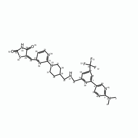 CN(C)c1ncc(-c2cc(C(F)(F)F)cc(CNCC3CCN(c4nccc(C=C5SC(=O)NC5=O)n4)CC3)n2)cn1